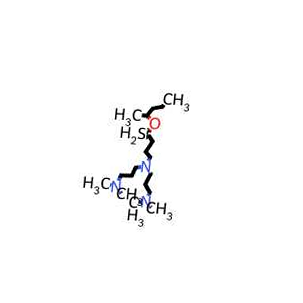 CCCC(C)O[SiH2]CCCN(CCCN(C)C)CCCN(C)C